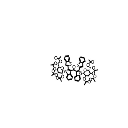 CC(=O)OC[C@H]1O[C@@H](n2c(-c3cc4ccccc4s3)c(C(=O)c3c(-c4cc5ccccc5s4)n([C@@H]4O[C@H](COC(C)=O)[C@@H](OC(C)=O)[C@H](OC(C)=O)[C@H]4OC(C)=O)c4ccccc34)c3ccccc32)[C@H](OC(C)=O)[C@@H](OC(C)=O)[C@@H]1OC(C)=O